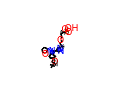 C[C@H](CCOCC[C@@H](C)n1cc(-c2nn(C3CCCCO3)c3ccc(O[Si](C)(C)C(C)(C)C)cc23)cn1)CS(=O)(=O)O